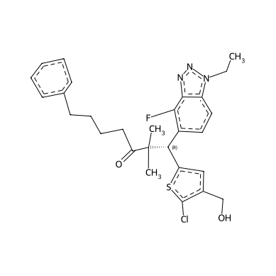 CCn1nnc2c(F)c([C@H](c3cc(CO)c(Cl)s3)C(C)(C)C(=O)CCCCc3ccccc3)ccc21